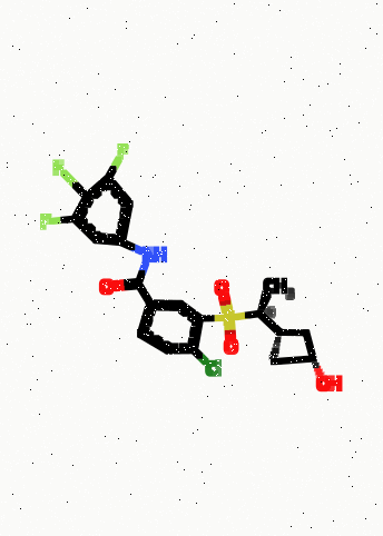 C[C@@H]([C@H]1C[C@@H](O)C1)S(=O)(=O)c1cc(C(=O)Nc2cc(F)c(F)c(F)c2)ccc1Cl